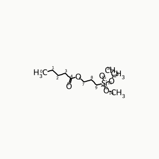 CCCCC(=O)OCCC[Si](OC)(OC)OC